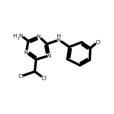 Nc1nc(Nc2cccc(Cl)c2)nc(C(Cl)Cl)n1